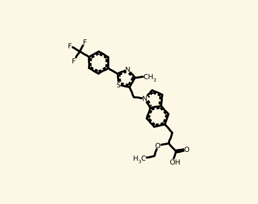 CCOC(Cc1ccc2c(ccn2Cc2sc(-c3ccc(C(F)(F)F)cc3)nc2C)c1)C(=O)O